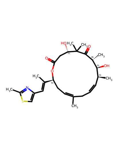 CC1=CC[C@@H](C(C)=Cc2csc(C)n2)OC(=O)C[C@H](O)C(C)(C)C(=O)[C@H](C)[C@@H](O)[C@@H](C)C=CC1